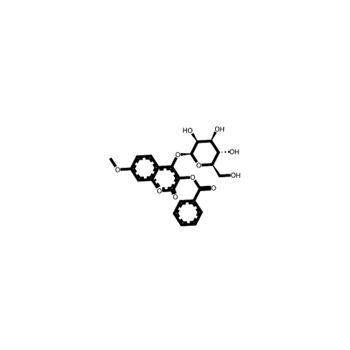 COc1ccc2c(O[C@@H]3O[C@H](CO)[C@@H](O)[C@H](O)[C@@H]3O)c(OC(=O)c3ccccc3)c(=O)oc2c1